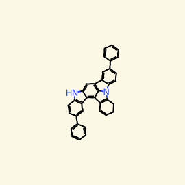 C1=Cc2c(n3c4ccc(-c5ccccc5)cc4c4cc5[nH]c6ccc(-c7ccccc7)cc6c5c2c43)CC1